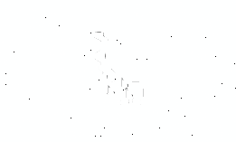 C=Nc1cc(Sc2ccc(-c3cccs3)cc2)ccc1NCNC(=O)OC